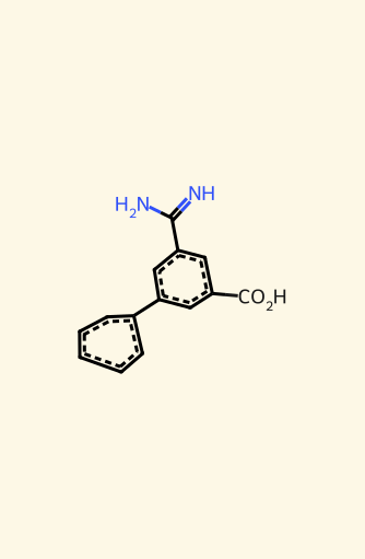 N=C(N)c1cc(C(=O)O)cc(-c2ccccc2)c1